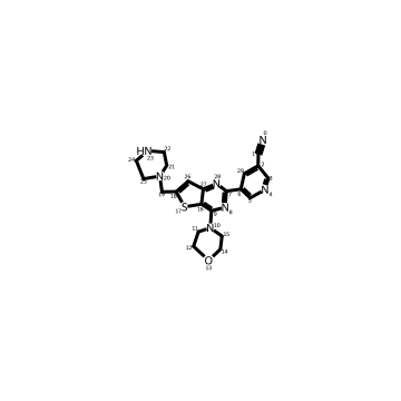 N#Cc1cncc(-c2nc(N3CCOCC3)c3sc(CN4CCNCC4)cc3n2)c1